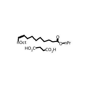 CCCCCCCC/C=C\CCCCCCCC(=O)OCCC.O=C(O)CCC(=O)O